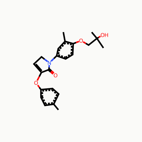 Cc1ccc(OC2=CCN(c3ccc(OCC(C)(C)O)c(C)c3)C2=O)cc1